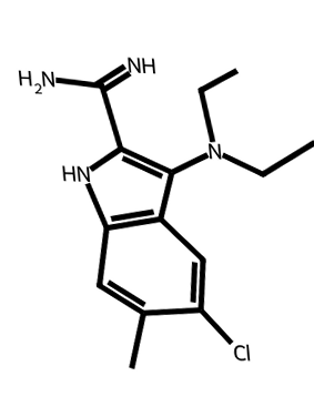 CCN(CC)c1c(C(=N)N)[nH]c2cc(C)c(Cl)cc12